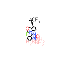 BC(B)(B)n1c(=O)nc(N2CCOCc3c(C#CC(C)(C)C(F)(F)F)cccc32)c2c(F)cccc21